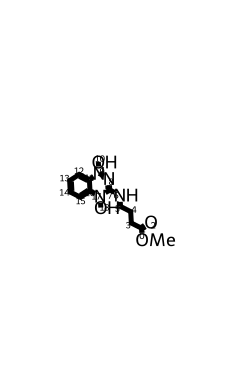 COC(=O)CCCNC1=NN(O)c2ccccc2N1O